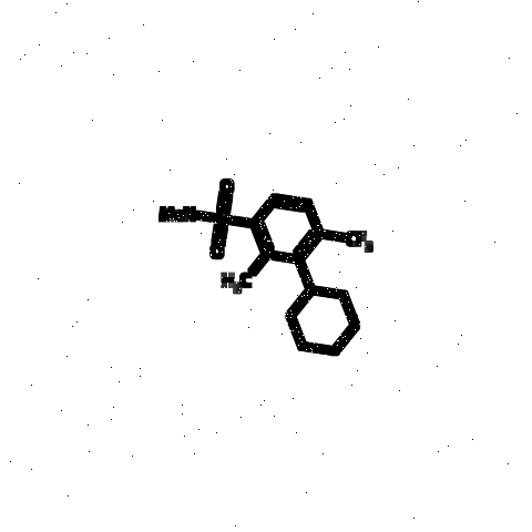 CNS(=O)(=O)c1ccc(C(F)(F)F)c(C2CCCCC2)c1C